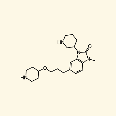 Cn1c(=O)n(C2CCCNC2)c2cc(CCCOC3CCNCC3)ccc21